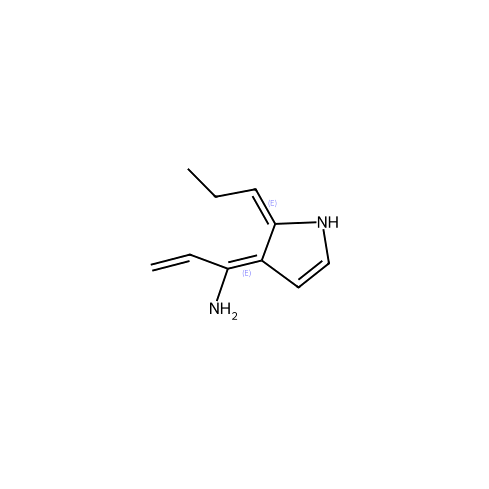 C=C/C(N)=c1/cc[nH]/c1=C/CC